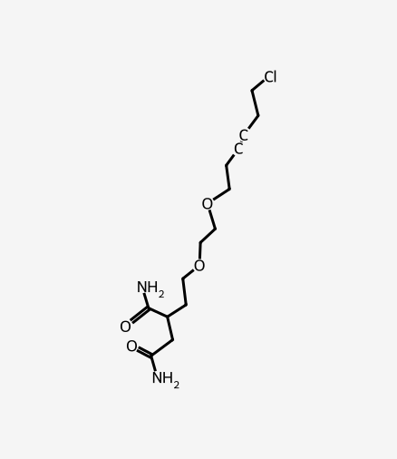 NC(=O)CC(CCOCCOCCCCCCCl)C(N)=O